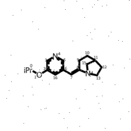 CC(C)Oc1cncc(C=C2CCC3CCN2C3)c1